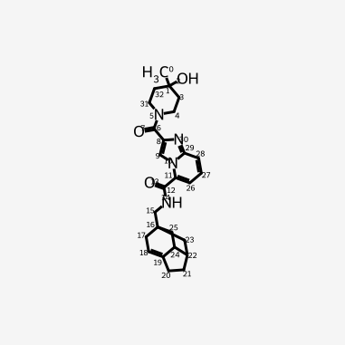 CC1(O)CCN(C(=O)c2cn3c(C(=O)NCC45CC=C6CCC(C4)C6C5)cccc3n2)CC1